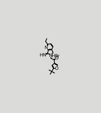 Br.CCc1ccc2c(n1)C(=N)N(CC(=O)c1coc(C(C)(C)C)c1)C2